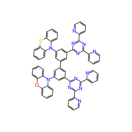 c1ccc(-c2nc(-c3cc(-c4cc(-c5nc(-c6ccccn6)nc(-c6ccccn6)n5)cc(N5c6ccccc6Sc6ccccc65)c4)cc(N4c5ccccc5Oc5ccccc54)c3)nc(-c3ccccn3)n2)nc1